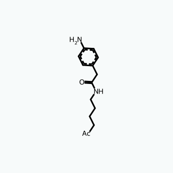 CC(=O)CCCCNC(=O)Cc1ccc(N)cc1